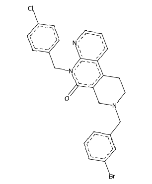 O=c1c2c(c3cccnc3n1Cc1ccc(Cl)cc1)CCN(Cc1cccc(Br)c1)C2